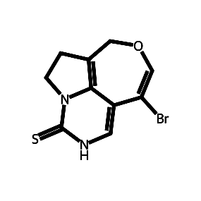 S=C1NC=C2C(Br)=COCC3=C2N1CC3